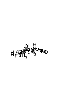 Cc1cc(OC2CCN(C(=O)OC(C)(C)C)CC2(F)F)c(C#N)cc1-c1ccnc(Nc2ccc(N3CCN(C4COC4)CC3)cc2)n1